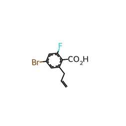 C=CCc1cc(Br)cc(F)c1C(=O)O